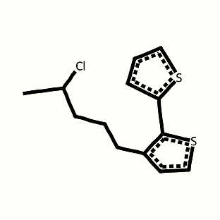 CC(Cl)CCCc1ccsc1-c1cccs1